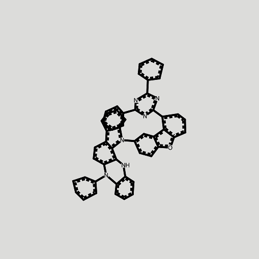 c1ccc(-c2nc(-c3ccccc3)nc(-c3cccc4oc5ccc(-n6c7ccccc7c7ccc8c(c76)Nc6ccccc6N8c6ccccc6)cc5c34)n2)cc1